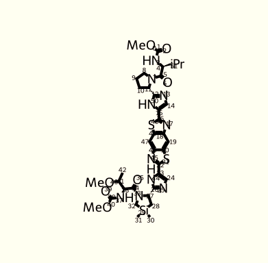 COC(=O)N[C@H](C(=O)N1CCC[C@H]1c1ncc(-c2nc3cc4sc(-c5cnc([C@@H]6C[Si](C)(C)CN6C(=O)[C@@H](NC(=O)OC)C(C)OC)[nH]5)nc4cc3s2)[nH]1)C(C)C